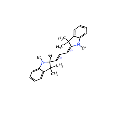 [2H]C1(/C=C/C=C2/N(CC)c3ccccc3C2(C)C)N(CC)c2ccccc2C1(C)C